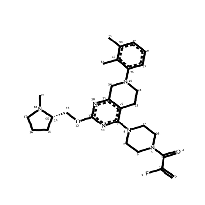 C=C(F)C(=O)N1CCN(c2nc(OC[C@@H]3CCCN3C)nc3c2CCN(c2cccc(C)c2C)C3)CC1